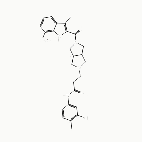 COc1cccc2c(C)c(C(=O)N3CC4CN(CCC(=O)Nc5ccc(C)c(Cl)c5)CC4C3)[nH]c12